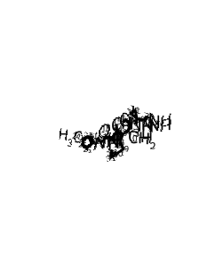 C=C(C(=O)NC1(C2=CNNN2)CC1)c1c(C)c(C(=O)Nc2ccc(C)cc2)n2c1CC1CC12